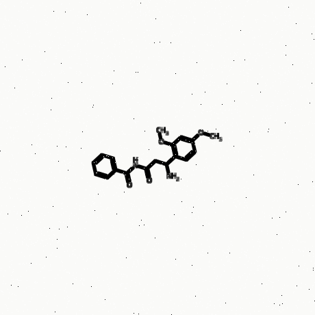 COc1ccc(C(N)CC(=O)NC(=O)c2ccccc2)c(OC)c1